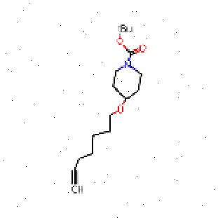 C#CCCCCCOC1CCN(C(=O)OC(C)(C)C)CC1